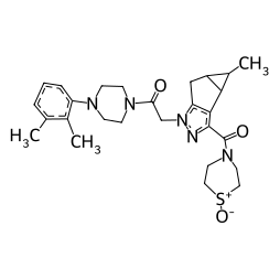 Cc1cccc(N2CCN(C(=O)Cn3nc(C(=O)N4CC[S+]([O-])CC4)c4c3CC3C(C)C43)CC2)c1C